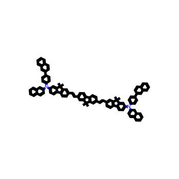 CC1(C)c2cc(/C=C/c3ccc4c(c3)C(C)(C)c3cc(N(C5=CC=C6C=CC=CC6C5)c5ccc(-c6ccc7ccccc7c6)cc5)ccc3-4)ccc2-c2ccc(/C=C/c3ccc4c(c3)C(C)(C)c3cc(N(c5ccc(-c6ccc7ccccc7c6)cc5)c5ccc6ccccc6c5)ccc3-4)cc21